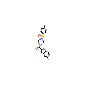 Cc1ccc(S(=O)(=O)N2CCN(C(=O)c3cc4cc(C)ccc4[nH]3)CC2)cc1